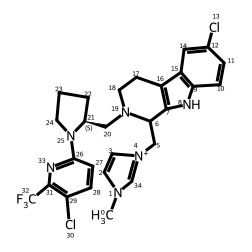 Cn1cc[n+](CC2c3[nH]c4ccc(Cl)cc4c3CCN2C[C@@H]2CCCN2c2ccc(Cl)c(C(F)(F)F)n2)c1